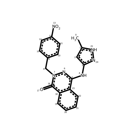 Cc1cc(Nc2nn(Cc3ccc([N+](=O)[O-])cc3)c(=O)c3ccccc23)n[nH]1